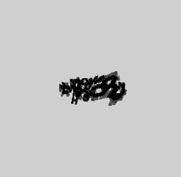 COc1cnc(-n2ccnn2)c2[nH]cc(C(=O)C(=O)N3CCc4c(cccc4-c4ccccn4)C3)c12